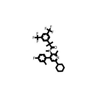 Cc1cc(F)ccc1-c1cc(C2CC[CH]CC2)nc(C)c1N(C)C(=O)C(C)(C)c1cc(C(F)(F)F)cc(C(F)(F)F)c1